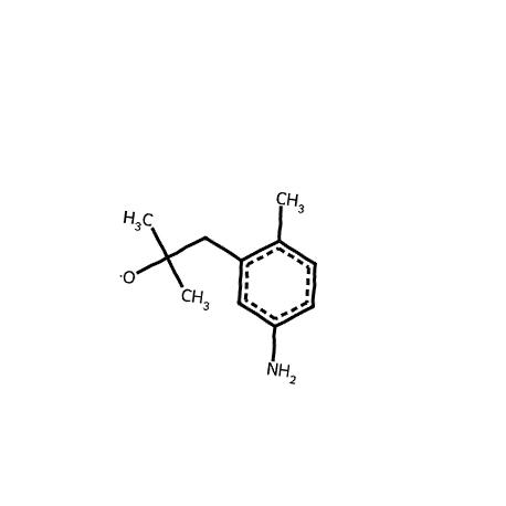 Cc1ccc(N)cc1CC(C)(C)[O]